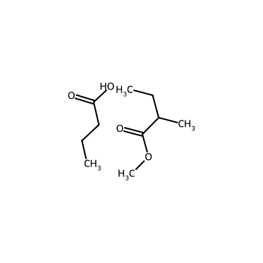 CCC(C)C(=O)OC.CCCC(=O)O